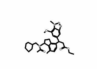 CCOC(=O)CC(c1cc(OC)c2c(c1)nnn2C)c1ccc(C)c2c1CCC2N(CC1CCCCC1)C(C)=O